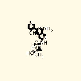 Cc1ccncc1-c1cc2cc(NC(=O)[C@H]3C[C@@H]3C(C)(C)O)ncc2c(N)n1